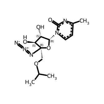 Cc1ccn([C@@H]2O[C@@](COC(C)C)(N=[N+]=[N-])[C@@H](O)[C@@H]2O)c(=O)n1